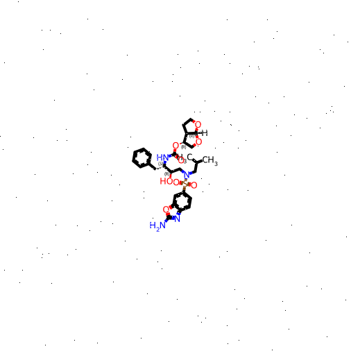 CC(C)CN(C[C@@H](O)[C@H](Cc1ccccc1)NC(=O)O[C@H]1CO[C@H]2OCCC21)S(=O)(=O)c1ccc2nc(N)oc2c1